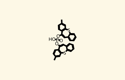 Cc1ccc2c(c1)Sc1ccccc1C=C2OP(=O)(O)OC1=Cc2ccccc2Sc2cc(C)ccc21